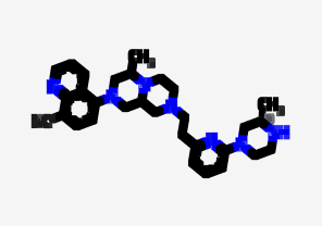 CC1CN(c2ccc(C#N)c3ncccc23)CC2CN(CCc3cccc(N4CCN[C@@H](C)C4)n3)CCN12